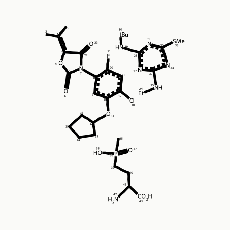 CC(C)=C1OC(=O)N(c2cc(OC3CCCC3)c(Cl)cc2F)C1=O.CCNc1nc(NC(C)(C)C)nc(SC)n1.CP(=O)(O)CCC(N)C(=O)O